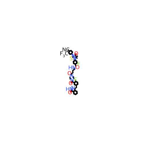 CC1(C)C(=O)N(c2ccc(C#N)c(C(F)(F)F)c2)C(=S)N1c1ccc(C(=O)NCCCC(=O)N2CCN(C(=O)c3cc(Cc4n[nH]c(=O)c5ccccc45)ccc3F)CC2)c(F)c1